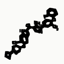 Cc1cc(-n2ncc(C(=O)c3cc4cc(OC5CCN(C6CCC6)CC5)c(Cl)cc4[nH]3)c2N)ccc1Oc1ccccc1F